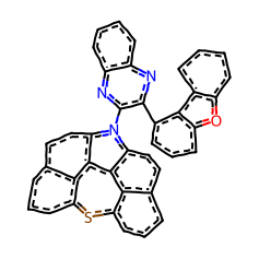 c1ccc2nc(-n3c4ccc5cccc6sc7cccc8ccc3c(c87)c4c56)c(-c3cccc4oc5ccccc5c34)nc2c1